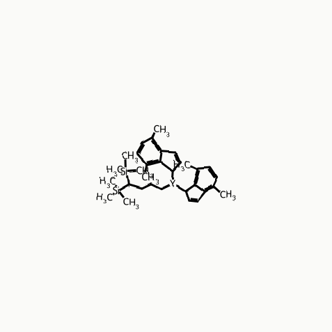 Cc1ccc(C)c2c1C=C[CH]2[Y]([CH2]CC[C]([Si](C)(C)C)[Si](C)(C)C)[CH]1C=Cc2c(C)ccc(C)c21